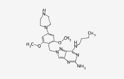 CCCCNc1nc(N)nc2cn(Cc3c(OC)cc(N4CCNCC4)cc3OC)nc12